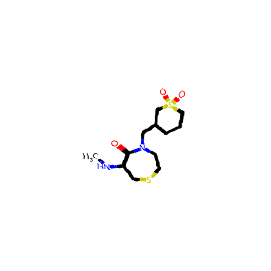 CNC1CSCCN(CC2CCCS(=O)(=O)C2)C1=O